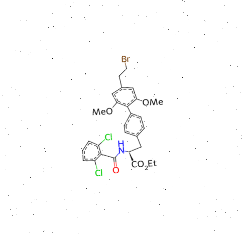 CCOC(=O)[C@H](Cc1ccc(-c2c(OC)cc(CCBr)cc2OC)cc1)NC(=O)c1c(Cl)cccc1Cl